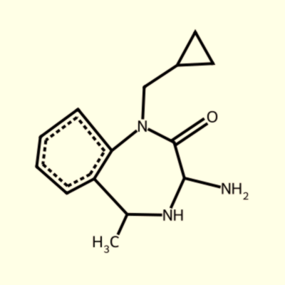 CC1NC(N)C(=O)N(CC2CC2)c2ccccc21